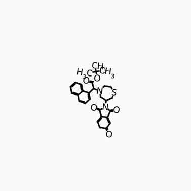 CC(C)(C)OC(=O)C(c1cccc2ccccc12)N1CCSCC(N2C(=O)C3=CCC(=O)C=C3C2=O)C1